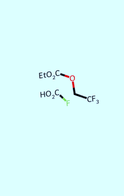 CCOC(=O)OCC(F)(F)F.O=C(O)F